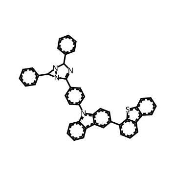 c1ccc(C2N=C(c3ccc(-n4c5ccccc5c5cc(-c6cccc7c6sc6ccccc67)ccc54)cc3)N3C(c4ccccc4)N23)cc1